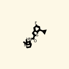 CC1(C)C(NC(=O)c2cc3cc(F)cc(C4CC4)c3s2)C2CCN1CC2